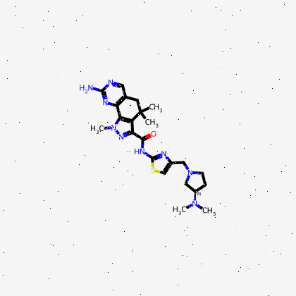 CN(C)[C@@H]1CCN(Cc2csc(NC(=O)c3nn(C)c4c3C(C)(C)Cc3cnc(N)nc3-4)n2)C1